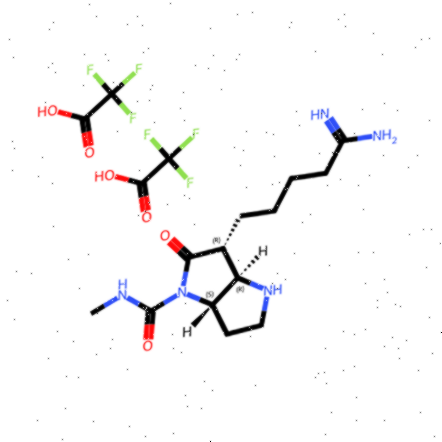 CNC(=O)N1C(=O)[C@H](CCCCC(=N)N)[C@H]2NCC[C@@H]21.O=C(O)C(F)(F)F.O=C(O)C(F)(F)F